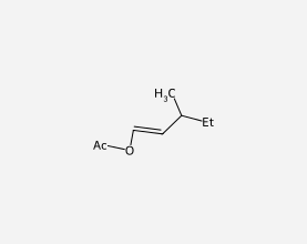 CCC(C)C=COC(C)=O